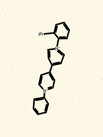 CC(C)c1ccccc1-[n+]1ccc(-c2cc[n+](-c3ccccc3)cc2)cc1